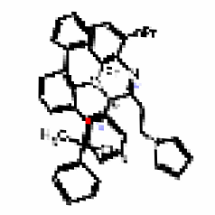 CCCc1cccc(CCC)c1/N=C(/CCn1cccc1)[C@@H](/C=C/C(C)(C)c1ccccc1)Oc1c(-c2ccccc2)cccc1-c1ccccc1